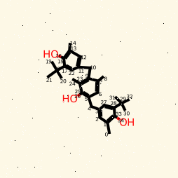 Cc1cc(Cc2cc(C)c(Cc3cc(C)c(O)c(C(C)(C)C)c3)c(C)c2O)cc(C(C)(C)C)c1O